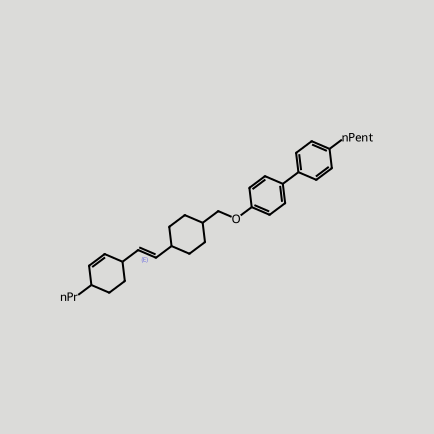 CCCCCc1ccc(-c2ccc(OCC3CCC(/C=C/C4C=CC(CCC)CC4)CC3)cc2)cc1